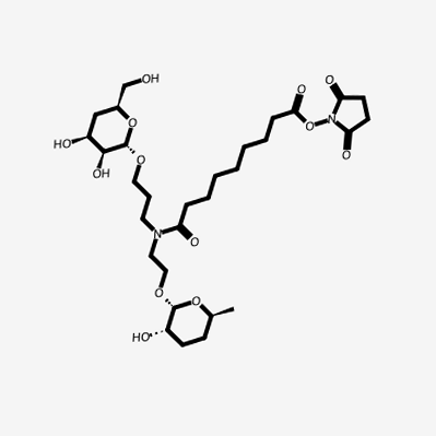 C[C@H]1CC[C@H](O)[C@H](OCCN(CCCO[C@H]2O[C@H](CO)C[C@H](O)[C@@H]2O)C(=O)CCCCCCCC(=O)ON2C(=O)CCC2=O)O1